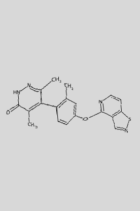 Cc1cc(Oc2nccc3sncc23)ccc1-c1c(C)n[nH]c(=O)c1C